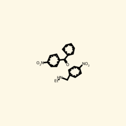 CCNCc1ccc([N+](=O)[O-])cc1.O=C(c1ccccc1)c1ccc([N+](=O)[O-])cc1